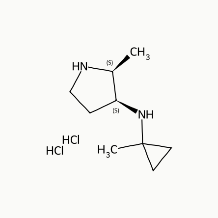 C[C@@H]1NCC[C@@H]1NC1(C)CC1.Cl.Cl